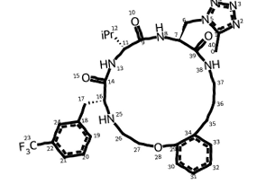 Cc1nnnn1C[C@@H]1NC(=O)[C@@H](C(C)C)NC(=O)[C@@H](Cc2cccc(C(F)(F)F)c2)NCCOc2ccccc2CCCNC1=O